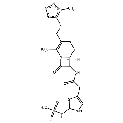 Cn1nnnc1SCC1=C(C(=O)O)N2C(=O)C(NC(=O)CC3=CNC(NS(C)(=O)=O)S3)[C@@H]2SC1